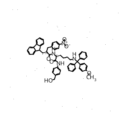 COc1ccc(C(NCCCC[C@H](NC(=O)[C@@H]([CH]C2c3ccccc3-c3ccccc32)Cc2ccc([N+](=O)[O-])cc2)C(=O)Nc2ccc(CO)cc2)(c2ccccc2)c2ccccc2)cc1